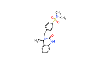 C=C1c2ccccc2NC(=O)N1Cc1ccc(S(=O)(=O)N(C)C)cc1